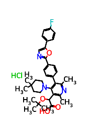 Cc1nc(C)c(C(OC(C)(C)C)C(=O)O)c(N2CCC(C)(C)CC2)c1-c1ccc(-c2ncc(-c3ccc(F)cc3)o2)cc1.Cl